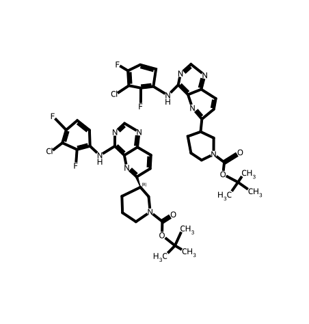 CC(C)(C)OC(=O)N1CCCC(c2ccc3ncnc(Nc4ccc(F)c(Cl)c4F)c3n2)C1.CC(C)(C)OC(=O)N1CCC[C@@H](c2ccc3ncnc(Nc4ccc(F)c(Cl)c4F)c3n2)C1